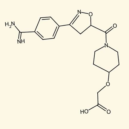 N=C(N)c1ccc(C2=NOC(C(=O)N3CCC(OCC(=O)O)CC3)C2)cc1